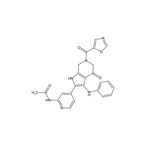 CC(=O)Nc1cc(-c2[nH]c3c(c2Nc2ccccc2)C(=O)CN(C(=O)c2cnco2)C3)ccn1